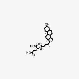 C[C@H](CCC(=O)N[C@@H](CCC(=O)O)C(=O)O)[C@H]1CCC2C3CCC4C[C@H](O)CC[C@]4(C)C3CC[C@@]21C